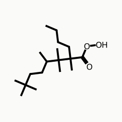 CCCCC(C)(C(=O)OO)C(C)(C)C(C)CCC(C)(C)C